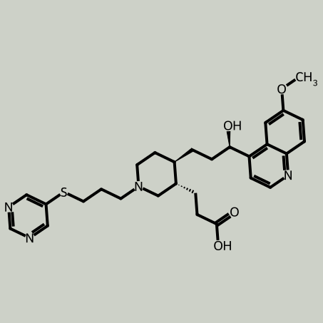 COc1ccc2nccc([C@H](O)CC[C@@H]3CCN(CCCSc4cncnc4)C[C@H]3CCC(=O)O)c2c1